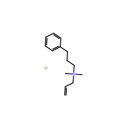 C=CC[N+](C)(C)CCCc1ccccc1.[Cl-]